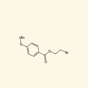 CCCCOc1ccc(C(=O)OCCBr)cc1